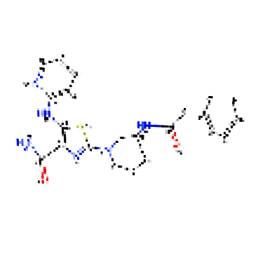 NC(=O)c1nc(N2CCCC(NC(=O)Cc3ccccc3)C2)sc1Nc1ccccn1